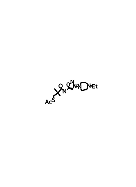 CCN1CCN([n+]2cc([N-]C(=O)C(C)(C)CSC(C)=O)on2)CC1